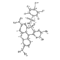 CCN(CC)c1ccc2c(-c3cc(Br)c(Br)cc3S(=O)(=O)NS(=O)(=O)c3c(F)c(F)c(F)c(F)c3F)c3ccc(=[N+](CC)CC)cc-3oc2c1